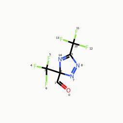 O=CC1(C(F)(F)F)N=NC(C(F)(F)F)=N1